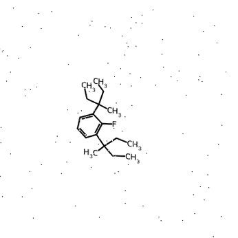 CCC(C)(CC)c1cccc(C(C)(CC)CC)c1F